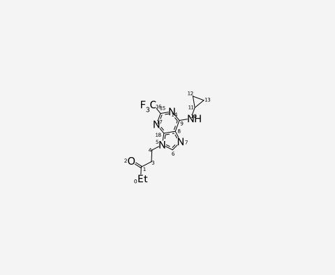 CCC(=O)CCn1cnc2c(NC3CC3)nc(C(F)(F)F)nc21